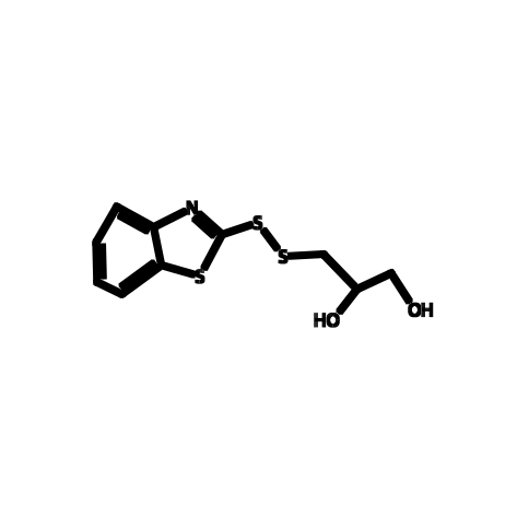 OCC(O)CSSc1nc2ccccc2s1